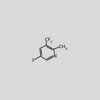 Cc1ncc(F)cc1C(F)(F)F